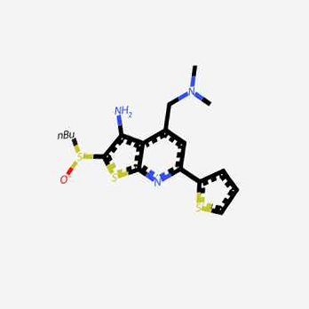 CCCC[S+]([O-])c1sc2nc(-c3cccs3)cc(CN(C)C)c2c1N